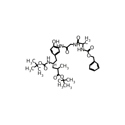 CC(C[C@H](Cc1ccc(O)c(NC(=O)CNC(=O)C(C)NC(=O)OCc2ccccc2)c1)NC(=O)OC(C)(C)C)C(=O)OC(C)(C)C